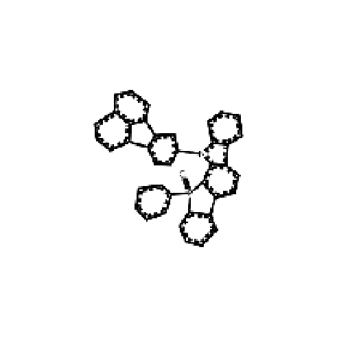 O=P1(c2ccccc2)c2ccccc2-c2ccc3c4ccccc4n(-c4ccc5c(c4)-c4cccc6cccc-5c46)c3c21